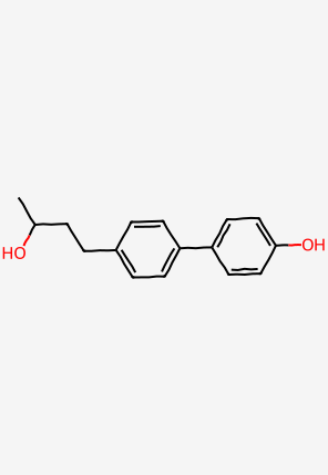 CC(O)CCc1ccc(-c2ccc(O)cc2)cc1